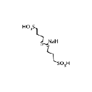 O=S(=O)(O)CCCSSCCCS(=O)(=O)O.[NaH]